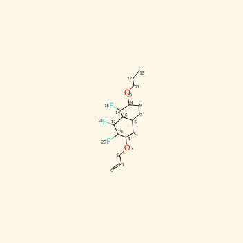 C=CCOC1CC2CCC(OCCC)C(F)C2C(F)C1F